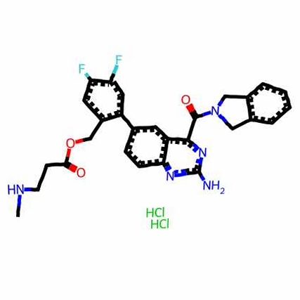 CNCCC(=O)OCc1cc(F)c(F)cc1-c1ccc2nc(N)nc(C(=O)N3Cc4ccccc4C3)c2c1.Cl.Cl